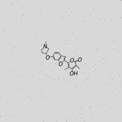 Cc1c(-c2cc3ccc(OC4CCN(C)C4)cc3o2)oc(=O)c(C)c1O